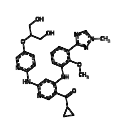 COc1c(Nc2cc(Nc3ccc(OC(CO)CO)cn3)ncc2C(=O)C2CC2)cccc1-c1ncn(C)n1